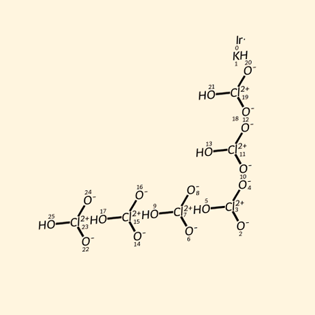 [Ir].[KH].[O-][Cl+2]([O-])O.[O-][Cl+2]([O-])O.[O-][Cl+2]([O-])O.[O-][Cl+2]([O-])O.[O-][Cl+2]([O-])O.[O-][Cl+2]([O-])O